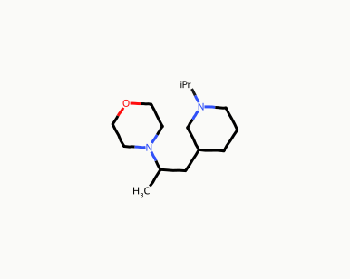 CC(C)N1CCCC(CC(C)N2CCOCC2)C1